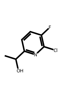 CC(O)c1ccc(F)c(Cl)n1